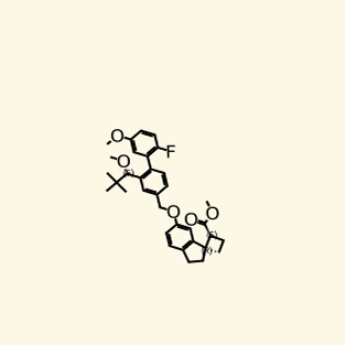 COC(=O)[C@H]1CC[C@@]12CCc1ccc(OCc3ccc(-c4cc(OC)ccc4F)c([C@@H](OC)C(C)(C)C)c3)cc12